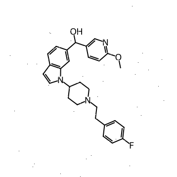 COc1ccc(C(O)c2ccc3ccn(C4CCN(CCc5ccc(F)cc5)CC4)c3c2)cn1